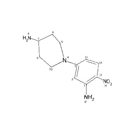 Nc1cc(N2CCC(N)CC2)ccc1[N+](=O)[O-]